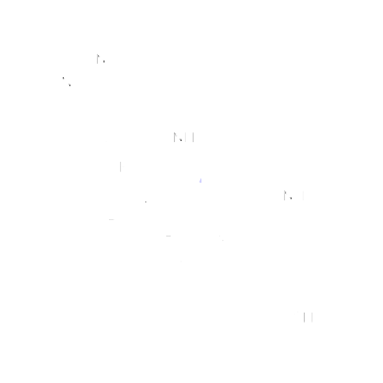 CCOC(=O)/C(C=N)=C(/Nc1ccnnc1)C(F)(F)F